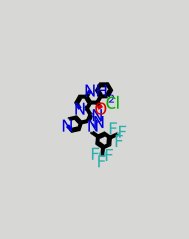 Nc1ccnc(-c2nnn(Cc3cc(C(F)(F)F)cc(C(F)(F)F)c3)c2-c2ccncc2)c1C(=O)c1ccccc1Cl